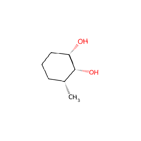 C[C@@H]1CCC[C@H](O)[C@@H]1O